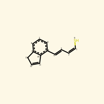 S/C=C\C=C\c1cccc2c1C=CC2